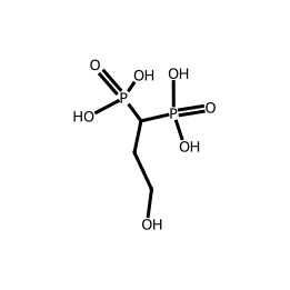 O=P(O)(O)C(CCO)P(=O)(O)O